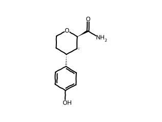 NC(=O)[C@H]1[C][C@H](c2ccc(O)cc2)CCO1